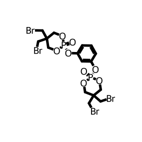 O=P1(Oc2cccc(OP3(=O)OCC(CBr)(CBr)CO3)c2)OCC(CBr)(CBr)CO1